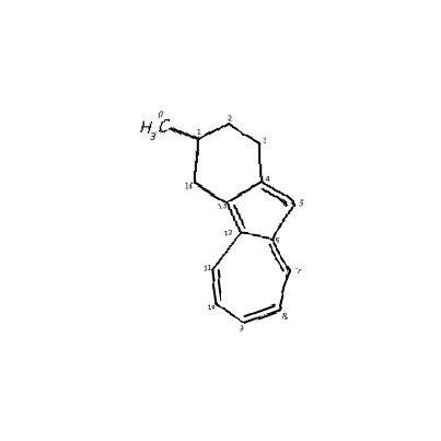 CC1CCc2cc3cccccc-3c2C1